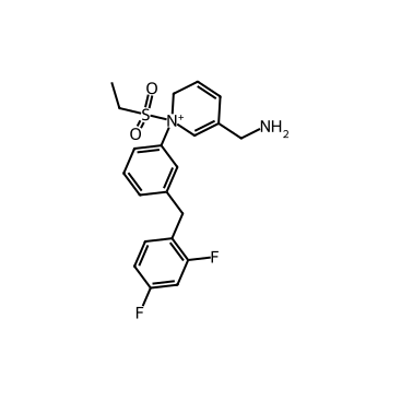 CCS(=O)(=O)[N+]1(c2cccc(Cc3ccc(F)cc3F)c2)C=C(CN)C=CC1